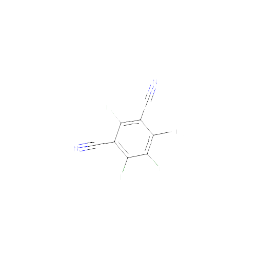 Cc1c(F)c(F)c(C#N)c(F)c1C#N